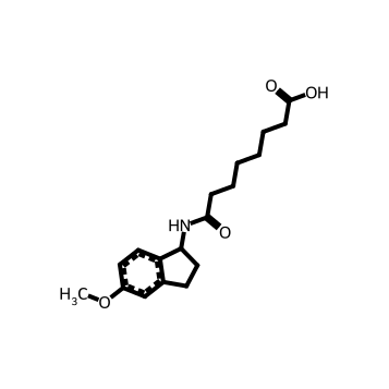 COc1ccc2c(c1)CCC2NC(=O)CCCCCCC(=O)O